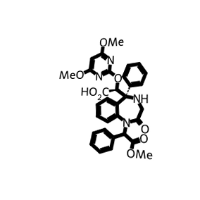 COC(=O)C(c1ccccc1)N1C(=O)CN[C@](c2ccccc2)([C@H](Oc2nc(OC)cc(OC)n2)C(=O)O)c2ccccc21